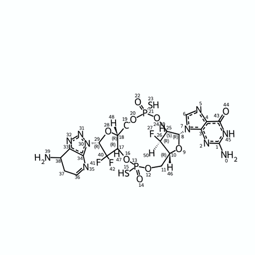 Nc1nc2c(ncn2[C@@H]2O[C@@H]3COP(=O)(S)O[C@@H]4[C@@H](COP(=O)(S)O[C@@H]2[C@@H]3F)O[C@@H](n2nnc3c2N=CCC3N)C4(F)F)c(=O)[nH]1